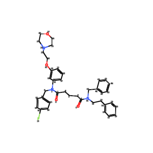 O=C(CCCC(=O)N(Cc1ccc(F)cc1)c1cccc(OCCN2CCOCC2)c1)N(CCc1ccccc1)Cc1ccccc1